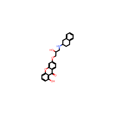 O=c1c2ccc(OCC(O)CNC3CCc4ccccc4C3)cc2oc2cccc(O)c12